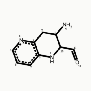 NC1Cc2ncccc2NC1C=O